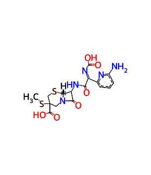 CSC1(C(=O)O)CS[C@@H]2C(NC(=O)C(=NC(=O)O)c3cccc(N)n3)C(=O)N2C1